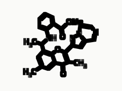 COC(=O)c1ccccc1NC(C)c1cc(C)cc2c(=O)c(C)c(-c3cc4cnccn4n3)oc12